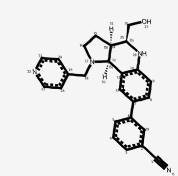 N#Cc1cccc(-c2ccc3c(c2)[C@@H]2[C@@H](CCN2Cc2ccncc2)[C@@H](CO)N3)c1